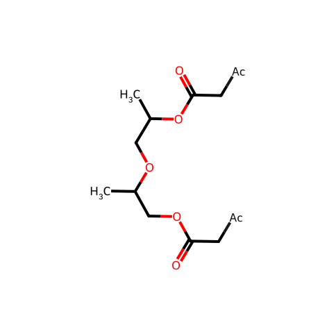 CC(=O)CC(=O)OCC(C)OCC(C)OC(=O)CC(C)=O